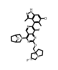 Cc1c(Cl)cc2[nH]nc(C)c2c1-c1ncc2c(N3CC4CCC(C3)O4)nc(OC[C@@]34CCCN3C[C@H](F)C4)nc2c1F